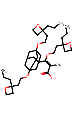 CCCC1(CCOC(=C(C)C(=O)O)C23CC4CC(OCCC5(CCC)CCO5)(CC(OCCC5(CCC)CCO5)(C4)C2)C3)CCO1